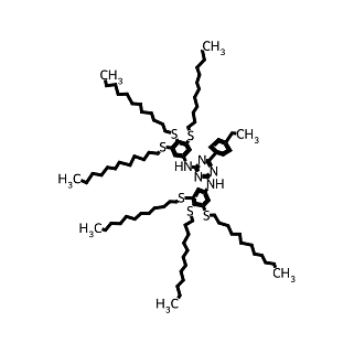 CCCCCCCCCCCCSc1cc(Nc2nc(Nc3cc(SCCCCCCCCCCCC)c(SCCCCCCCCCCCC)c(SCCCCCCCCCCCC)c3)nc(-c3ccc(CC)cc3)n2)cc(SCCCCCCCCCCCC)c1SCCCCCCCCCCCC